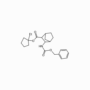 CCC1(OC(=O)C2C3CCC(C3)C2NC(=O)OCc2ccccc2)CCCC1